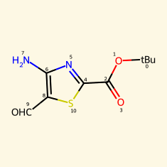 CC(C)(C)OC(=O)c1nc(N)c(C=O)s1